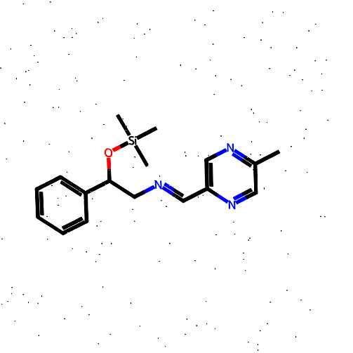 Cc1cnc(C=NCC(O[Si](C)(C)C)c2ccccc2)cn1